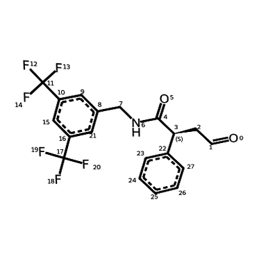 O=CC[C@H](C(=O)NCc1cc(C(F)(F)F)cc(C(F)(F)F)c1)c1ccccc1